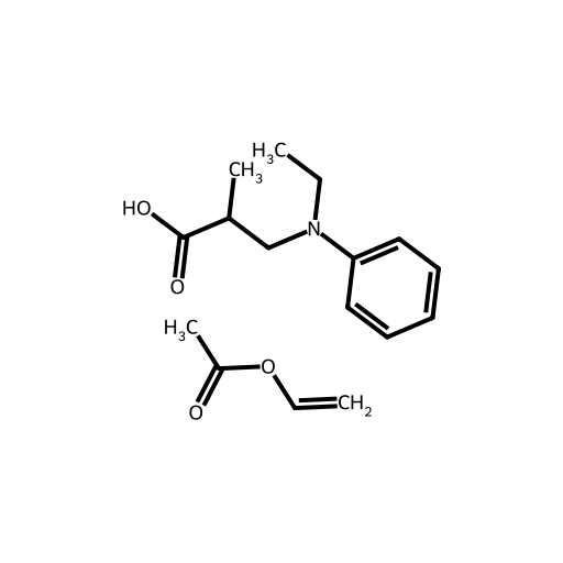 C=COC(C)=O.CCN(CC(C)C(=O)O)c1ccccc1